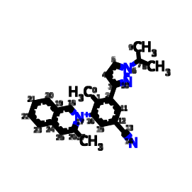 Cc1c(-c2ccn(C(C)C)n2)cc(C#N)cc1-[n+]1cc2ccccc2cc1C